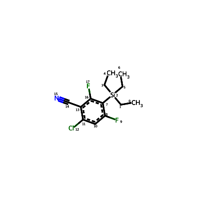 CC[Si](CC)(CC)c1c(F)cc(Cl)c(C#N)c1F